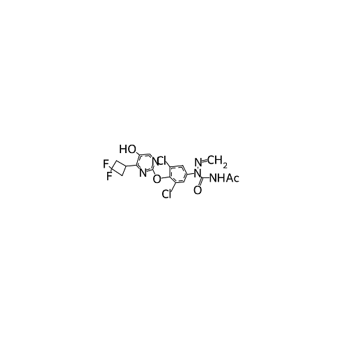 C=NN(C(=O)NC(C)=O)c1cc(Cl)c(Oc2ncc(O)c(C3CC(F)(F)C3)n2)c(Cl)c1